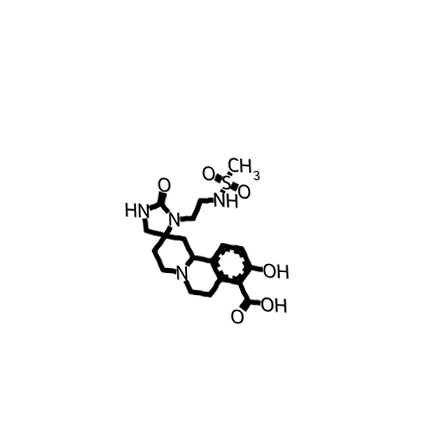 CS(=O)(=O)NCCN1C(=O)NCC12CCN1CCc3c(ccc(O)c3C(=O)O)C1C2